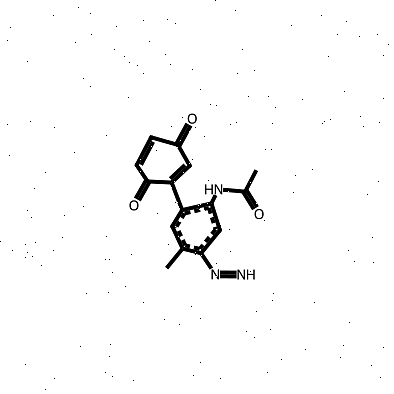 CC(=O)Nc1cc(N=N)c(C)cc1C1=CC(=O)C=CC1=O